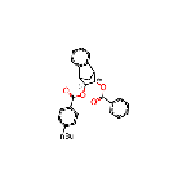 CCCCc1ccc(C(=O)O[C@H]2C3CC(c4ccccc43)[C@H]2OC(=O)c2ccccc2)cc1